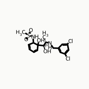 C[C@H](NCc1cc(Cl)cc(Cl)c1)[C@@H](O)C1(O)C=CC=CC1NS(C)(=O)=O